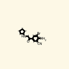 N#Cc1cc(C(=O)CNC2CCCC2)cc(Br)c1N